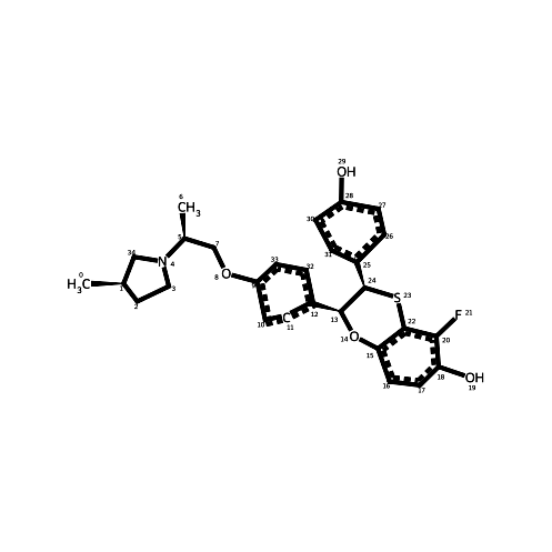 C[C@@H]1CCN([C@@H](C)COc2ccc([C@@H]3Oc4ccc(O)c(F)c4S[C@@H]3c3ccc(O)cc3)cc2)C1